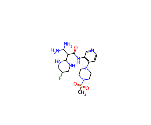 CS(=O)(=O)N1CCN(c2ccncc2NC(=O)C(C(N)N)C2NCC(F)CN2)CC1